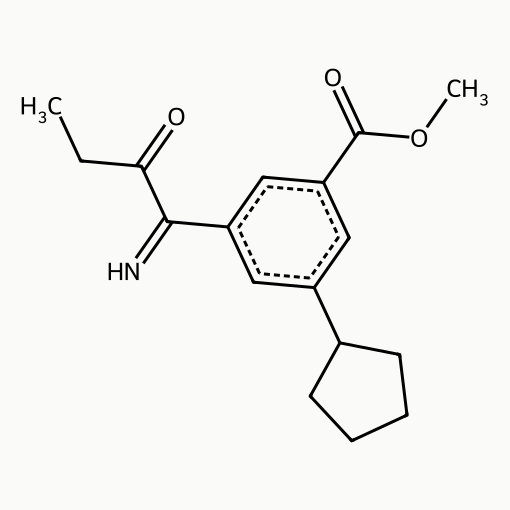 CCC(=O)C(=N)c1cc(C(=O)OC)cc(C2CCCC2)c1